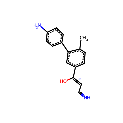 Cc1ccc(/C(O)=C/C=N)cc1-c1ccc(N)cc1